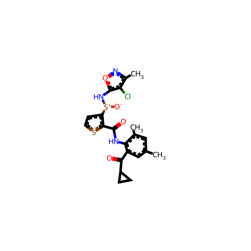 Cc1cc(C)c(NC(=O)c2sccc2[S+]([O-])Nc2onc(C)c2Cl)c(C(=O)C2CC2)c1